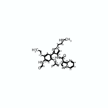 CCSc1cc(-c2nn(CCNC)cc2NC(=O)c2cnn3cccnc23)c(OC(F)F)cc1NC=O